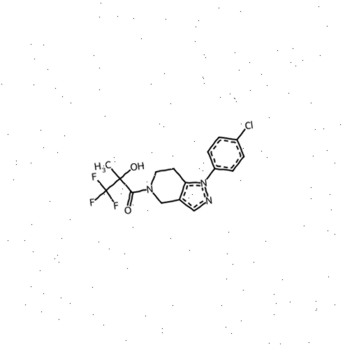 CC(O)(C(=O)N1CCc2c(cnn2-c2ccc(Cl)cc2)C1)C(F)(F)F